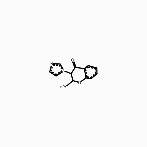 CCCC1Oc2ccccc2C(=O)C1n1ccnc1